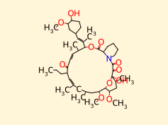 CCCC1C=C(C)CC(C)CC(OC)C2OC(O)(C(=O)C(=O)N3CCCCC3C(=O)OC(C(C)=CC3CCC(O)C(OC)C3)C(C)C=CC1=O)C(C)CC2OC